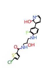 O=C(NC[C@H](O)CNc1ccc(-c2cccnc2O)cc1F)c1ccc(Cl)s1